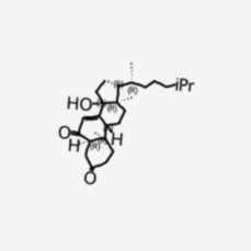 CC(C)CCC[C@@H](C)[C@H]1CC[C@@]2(O)C3=CC(=O)[C@@H]4CC(=O)CC[C@]4(C)[C@H]3CC[C@]12C